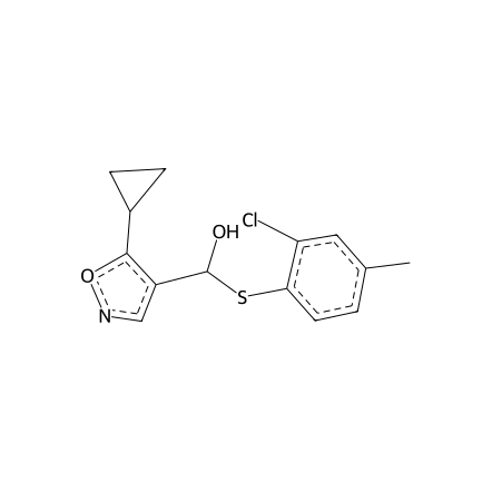 Cc1ccc(SC(O)c2cnoc2C2CC2)c(Cl)c1